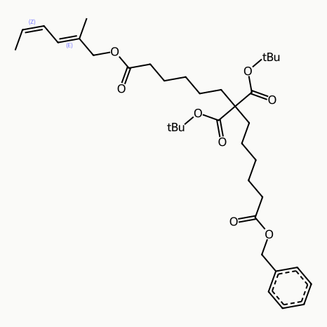 C/C=C\C=C(/C)COC(=O)CCCCCC(CCCCCC(=O)OCc1ccccc1)(C(=O)OC(C)(C)C)C(=O)OC(C)(C)C